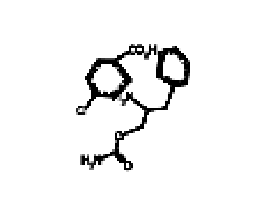 NC(=O)OCC(N)Cc1ccccc1.O=C(O)c1ccc(Cl)cc1